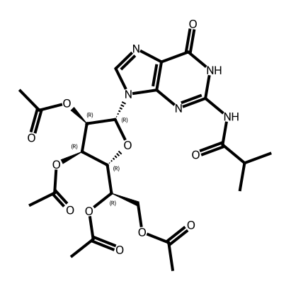 CC(=O)OC[C@@H](OC(C)=O)[C@H]1O[C@@H](n2cnc3c(=O)[nH]c(NC(=O)C(C)C)nc32)[C@H](OC(C)=O)[C@@H]1OC(C)=O